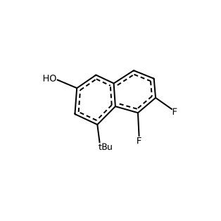 CC(C)(C)c1cc(O)cc2ccc(F)c(F)c12